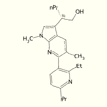 CCC[C@H](CO)c1cn(C)c2nc(-c3ccc(C(C)C)nc3CC)c(C)cc12